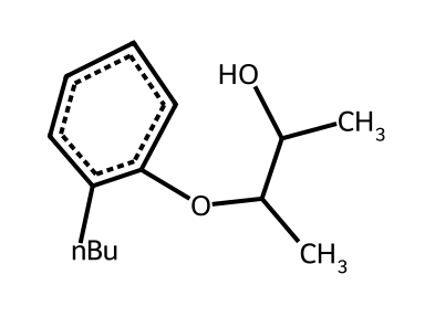 CCCCc1ccccc1OC(C)C(C)O